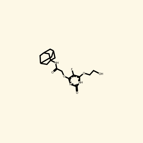 O=C(COc1nc(=O)[nH]c(OCCO)c1F)NC12CC3CC(CC(C3)C1)C2